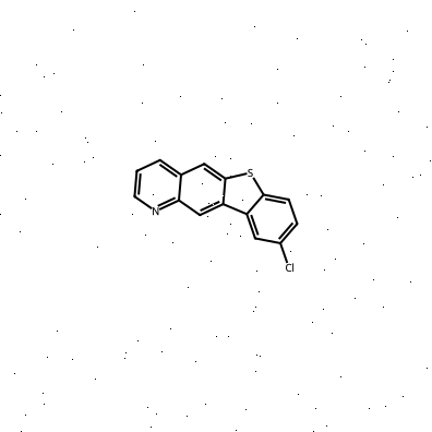 Clc1ccc2sc3cc4cccnc4cc3c2c1